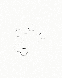 CNC(C)C(=O)NC(C(=O)NC(CC(=O)O)C(=O)NC1CCCc2ccccc21)C(C)C